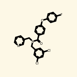 O=C(c1ccc(Oc2ccc(F)cc2)cc1)N(Cc1cccnc1)Cc1cc(Cl)cc(Cl)c1